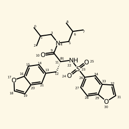 CC(C)CN(CC(C)C)C(=O)[C@@H](Cc1ccc2occc2c1)NS(=O)(=O)c1ccc2occc2c1